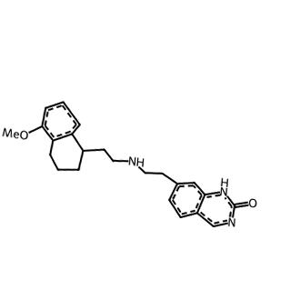 COc1cccc2c1CCCC2CCNCCc1ccc2cnc(=O)[nH]c2c1